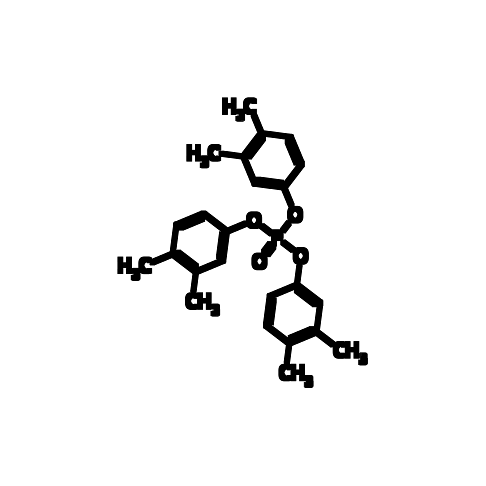 Cc1ccc(OP(=O)(Oc2ccc(C)c(C)c2)Oc2ccc(C)c(C)c2)cc1C